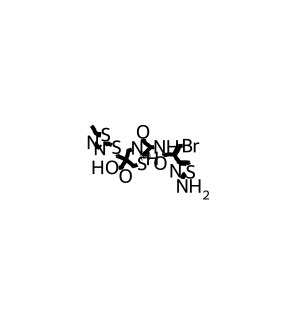 Cc1nnc(SCC2(C(=O)O)CS[C@@H]3C(NC(=O)C(=CBr)c4csc(N)n4)C(=O)N3C2)s1